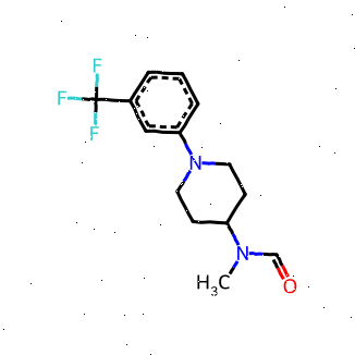 CN(C=O)C1CCN(c2cccc(C(F)(F)F)c2)CC1